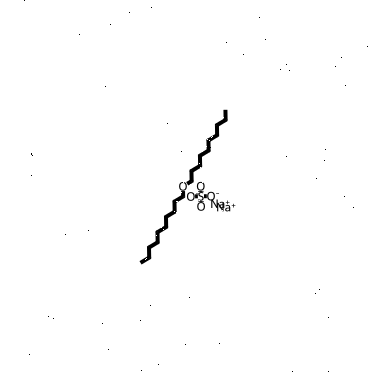 CCCCCCCCCCOCCCCCCCCCC.O=S(=O)([O-])[O-].[Na+].[Na+]